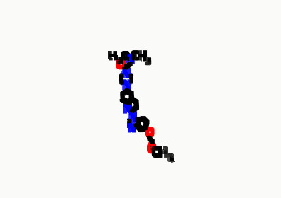 COCCOc1ccc2c(c1)ncn2-c1ccc2cc(N3CCN(C(=O)CN(C)C)CC3)ccc2n1